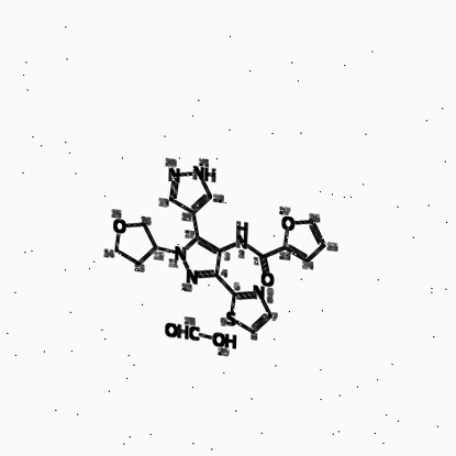 O=C(Nc1c(-c2nccs2)nn(C2CCOC2)c1-c1cn[nH]c1)c1ccco1.O=CO